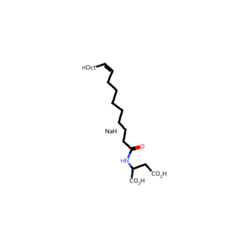 CCCCCCCC/C=C\CCCCCCCC(=O)NC(CC(=O)O)C(=O)O.[NaH]